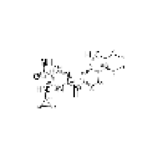 CC1CCCCN1c1ccc(Nc2ncc(C(N)=O)c(NC3CC3)n2)cc1